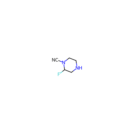 N#CN1CCNCC1F